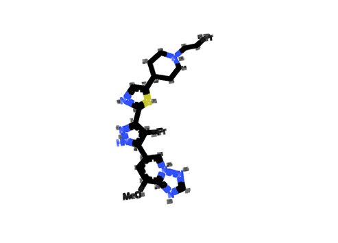 COc1cc(-c2[nH]nc(-c3ncc(C4CCN(CCC(C)C)CC4)s3)c2C(C)C)cn2ncnc12